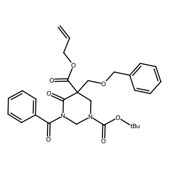 C=CCOC(=O)C1(COCc2ccccc2)CN(C(=O)OC(C)(C)C)CN(C(=O)c2ccccc2)C1=O